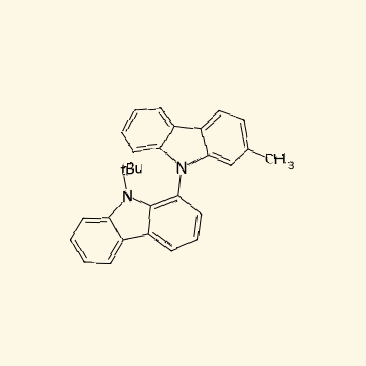 Cc1ccc2c3ccccc3n(-c3cccc4c5ccccc5n(C(C)(C)C)c34)c2c1